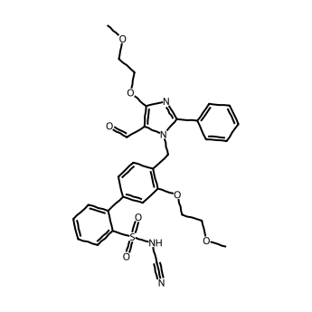 COCCOc1cc(-c2ccccc2S(=O)(=O)NC#N)ccc1Cn1c(-c2ccccc2)nc(OCCOC)c1C=O